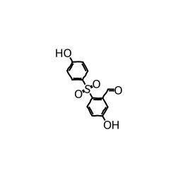 O=Cc1cc(O)ccc1S(=O)(=O)c1ccc(O)cc1